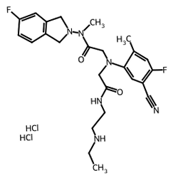 CCNCCNC(=O)CN(CC(=O)N(C)N1Cc2ccc(F)cc2C1)c1cc(C#N)c(F)cc1C.Cl.Cl